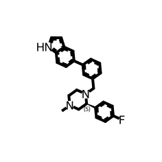 CN1CCN(Cc2cccc(-c3ccc4[nH]ccc4c3)c2)[C@@H](c2ccc(F)cc2)C1